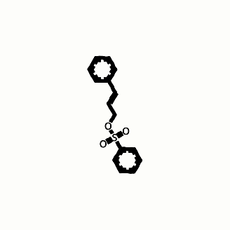 O=S(=O)(OCC=Cc1ccccc1)c1ccccc1